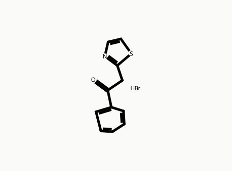 Br.O=C(Cc1nccs1)c1ccccc1